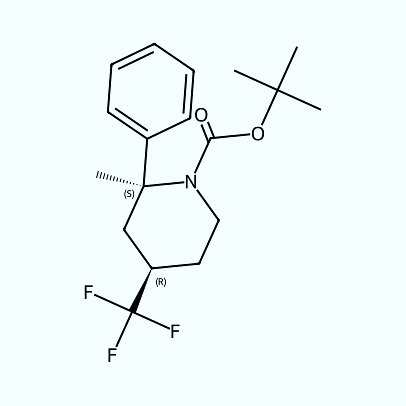 CC(C)(C)OC(=O)N1CC[C@@H](C(F)(F)F)C[C@@]1(C)c1ccccc1